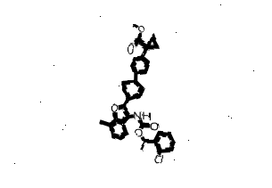 COC(=O)C1(c2ccc(-c3ccc(-c4oc5c(C)cccc5c4NC(=O)O[C@H](C)c4ccccc4Cl)cc3)cc2)CC1